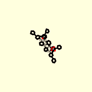 c1ccc(-c2ccc3c(c2)c2cc(-c4ccccc4)ccc2n3-c2cccc3c2N(c2ccccc2)c2cccc4c2B3c2cccc(-n3c5ccc(-c6ccccc6)cc5c5cc(-c6ccccc6)ccc53)c2N4c2ccccc2)cc1